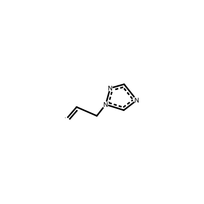 [CH]=CCn1cncn1